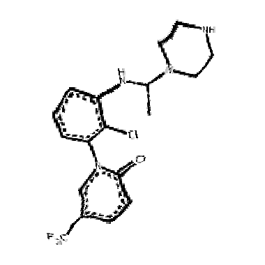 CC(Nc1cccc(-n2cc(C(F)(F)F)ccc2=O)c1Cl)N1CCNCC1